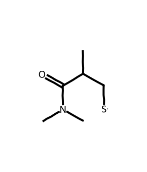 CC(C[S])C(=O)N(C)C